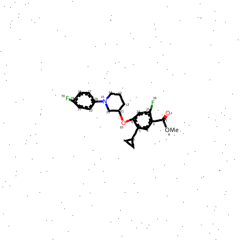 COC(=O)c1cc(C2CC2)c(OC2CCCN(c3ccc(F)cc3)C2)cc1F